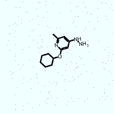 Cc1cc(NN)cc(OC2CCCCC2)n1